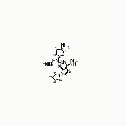 CCCCNc1nc(NC2CCC(N)CC2)nc2c1ncn2C1CCCC1.Cl.Cl